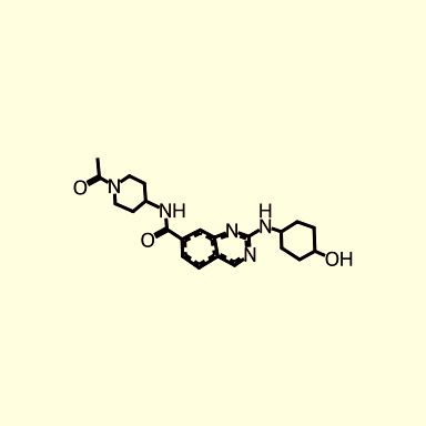 CC(=O)N1CCC(NC(=O)c2ccc3cnc(NC4CCC(O)CC4)nc3c2)CC1